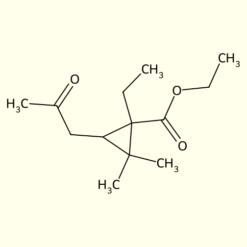 CCOC(=O)C1(CC)C(CC(C)=O)C1(C)C